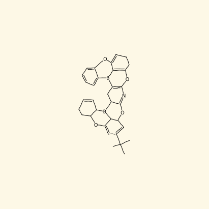 CC(C)(C)C1=CC2OC3=NC4=C(CC3B3C5C=CCCC5OC(=C1)C32)B1C2=C(CCC=C2Oc2ccccc21)O4